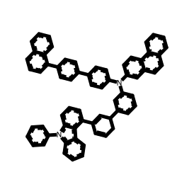 C1=CC(c2cccc3c2c2ccccc2n3-c2ccccc2)=CC(c2cccc(N(c3ccc(-c4ccc(-c5cccc6ccccc56)cc4)cc3)c3ccc4c(ccc5ccccc54)c3)c2)C1